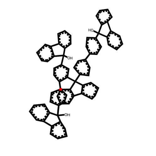 OC1(c2ccc(-c3ccc(C4(c5cc(C6(O)c7ccccc7-c7ccccc76)ccc5-c5ccc(C6(O)c7ccccc7-c7ccccc76)cc5)c5ccccc5-c5ccccc54)cc3)cc2)c2ccccc2-c2ccccc21